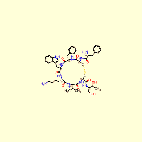 CC(C)[C@@H]1NC(=O)[C@H](CCCCN)NC(=O)[C@@H](Cc2c[nH]c3ccccc23)NC(=O)[C@H](Cc2ccccc2)NC(=O)[C@@H](NC(=O)[C@H](N)Cc2ccccc2)CSSC[C@@H](C(=O)N[C@H](CO)C(C)O)NC1=O